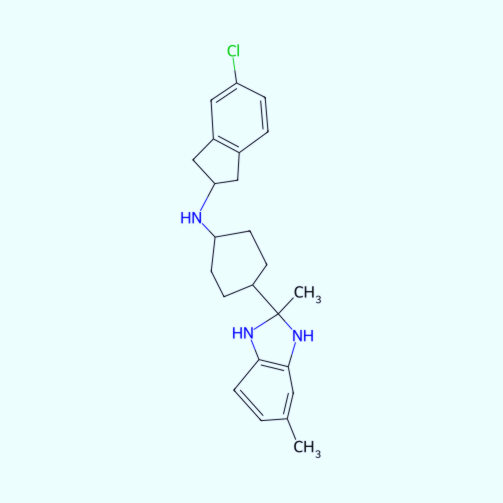 Cc1ccc2c(c1)NC(C)(C1CCC(NC3Cc4ccc(Cl)cc4C3)CC1)N2